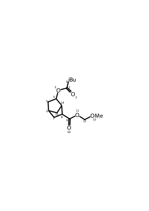 CCC(C)C(=O)OC1CC2CC(C(=O)OCOC)C1C2